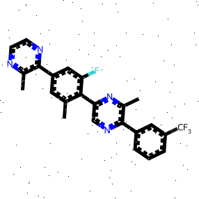 Cc1cc(-c2nccnc2C)cc(F)c1-c1cnc(-c2cccc(C(F)(F)F)c2)c(C)n1